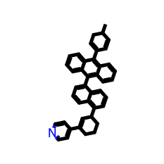 CC1C=CC(c2c3ccccc3c(-c3cccc4c(C5C=C(c6ccncc6)CCC5)cccc34)c3ccccc23)=CC1